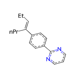 CC/C=C(\CCC)c1ccc(-c2ncccn2)cc1